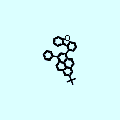 CC(C)(C)c1cc2ccc3c(-c4ccccc4)cc(-c4cccc5oc6ccccc6c45)c4ccc(c1)c2c34